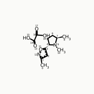 Cc1cc([C@@H]2CC[C@@H](C)N2C)on1.O=C(O)C(=O)O